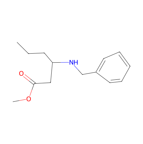 CCCC(CC(=O)OC)NCc1ccccc1